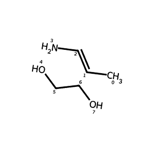 C/C=C/N.OCCO